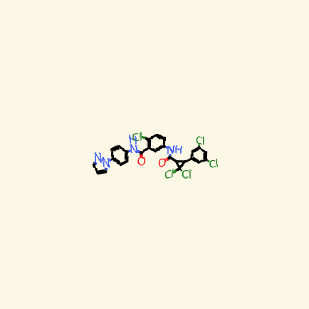 O=C(Nc1ccc(-n2cccn2)cc1)c1cc(NC(=O)C2C(c3cc(Cl)cc(Cl)c3)C2(Cl)Cl)ccc1Cl